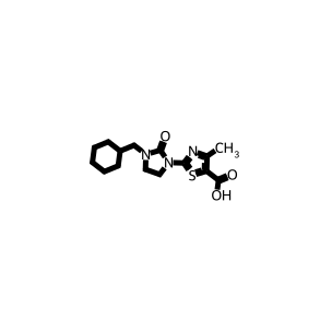 Cc1nc(N2CCN(CC3CCCCC3)C2=O)sc1C(=O)O